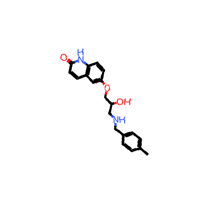 Cc1ccc(CNCC(O)COc2ccc3[nH]c(=O)ccc3c2)cc1